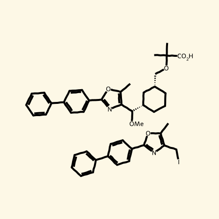 COC(c1nc(-c2ccc(-c3ccccc3)cc2)oc1C)[C@H]1CCC[C@@H](COC(C)(C)C(=O)O)C1.Cc1oc(-c2ccc(-c3ccccc3)cc2)nc1CI